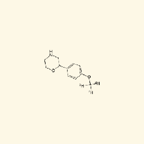 [2H]C([2H])([2H])Oc1ccc(C2CNCCO2)cc1